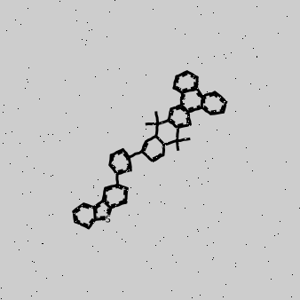 CC1(C)c2cc3c4ccccc4c4ccccc4c3cc2C(C)(C)C2C=C(c3cccc(-c4ccc5sc6ccccc6c5c4)c3)C=CC21